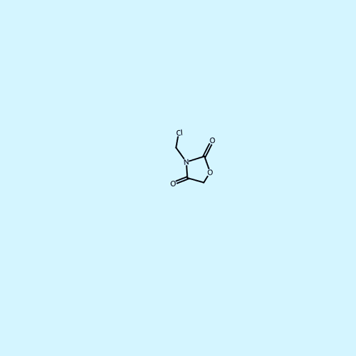 O=C1COC(=O)N1CCl